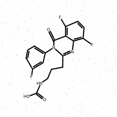 O=C(O)NCCCc1nc2c(F)ccc(F)c2c(=O)n1-c1cccc(F)c1